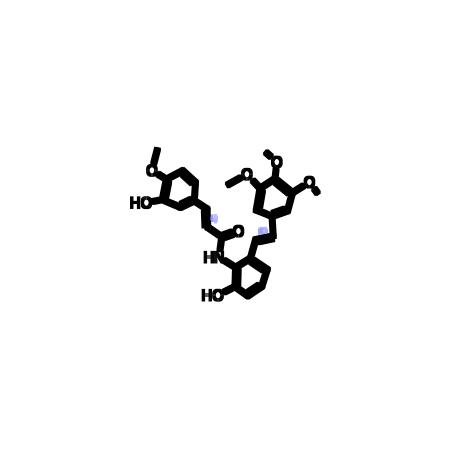 COc1ccc(/C=C/C(=O)Nc2c(O)cccc2/C=C/c2cc(OC)c(OC)c(OC)c2)cc1O